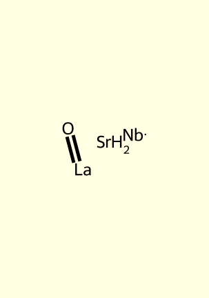 [Nb].[O]=[La].[SrH2]